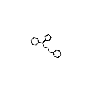 C1=CC(=C(CCCc2ccccc2)c2ccccc2)C=C1